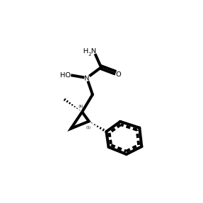 C[C@@]1(CN(O)C(N)=O)C[C@H]1c1ccccc1